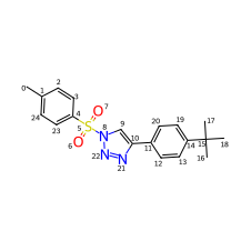 Cc1ccc(S(=O)(=O)n2cc(-c3ccc(C(C)(C)C)cc3)nn2)cc1